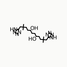 CC(C)(CCC(O)CCC(O)CCC(C)(C)Cc1nnn[nH]1)Cc1nnn[nH]1